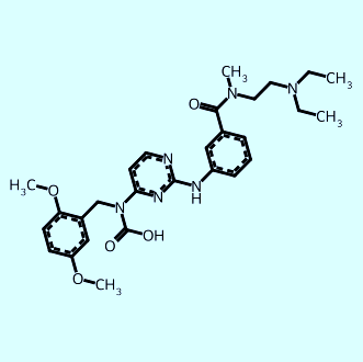 CCN(CC)CCN(C)C(=O)c1cccc(Nc2nccc(N(Cc3cc(OC)ccc3OC)C(=O)O)n2)c1